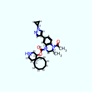 CC(=O)N1c2ccc(-c3cnn(C4CC4)c3)cc2N(C(=O)OC2CNCCC23CCCCCCCC3)C[C@@H]1C